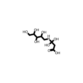 O=C(O)CC(O)(O)NCC(O)C(O)C(O)CO